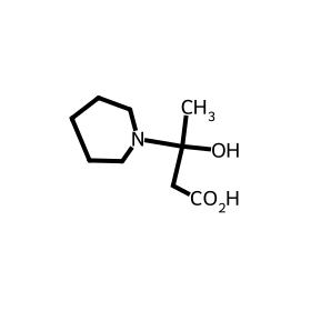 CC(O)(CC(=O)O)N1CCCCC1